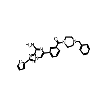 Nc1nc(-c2cccc(C(=O)N3CCN(Cc4ccccc4)CC3)c2)cn2nc(-c3ccco3)nc12